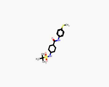 CSc1ccc(NC(=O)C2CCC(NS(=O)(=O)C(C)(C)C)CC2)cc1